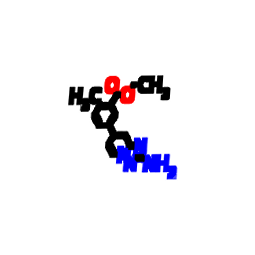 CCOC(=O)c1cc(-c2ccn3nc(N)nc3c2)ccc1C